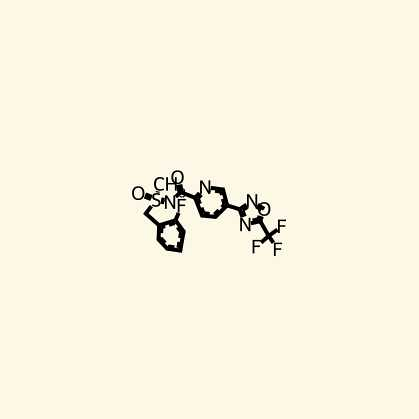 CS(=O)(Cc1ccccc1F)=NC(=O)c1ccc(-c2noc(C(F)(F)F)n2)cn1